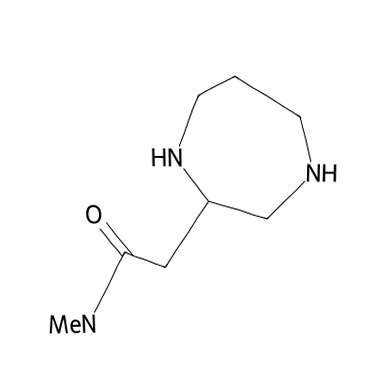 CNC(=O)CC1CNCCCN1